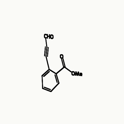 COC(=O)c1ccccc1C#CC=O